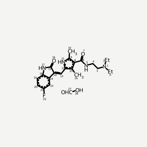 CCN(CC)CCNC(=O)c1c(C)[nH]c(C=C2C(=O)Nc3ccc(F)cc32)c1C.O=CO